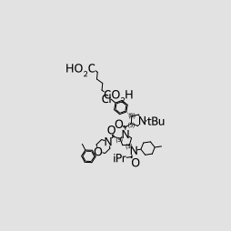 CC1CCC(N(C(=O)C(C)C)[C@H]2C[C@@H](C(=O)N3CCOCC3)N(C(=O)[C@@H]3CN(C(C)(C)C)C[C@H]3c3ccc(Cl)cc3)C2)CC1.Cc1ccccc1.O=C(O)CCCCC(=O)O